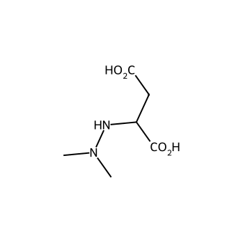 CN(C)NC(CC(=O)O)C(=O)O